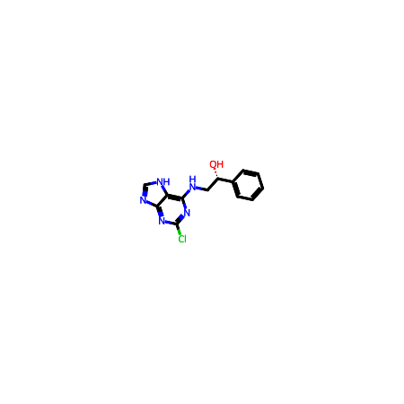 O[C@@H](CNc1nc(Cl)nc2nc[nH]c12)c1ccccc1